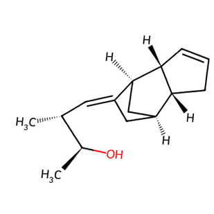 C[C@H](O)[C@H](C)/C=C1\C[C@H]2C[C@@H]1[C@@H]1C=CC[C@H]21